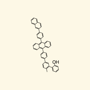 Cc1ccc(-c2ccc(-c3c4ccccc4c(-c4ccc(-c5ccc6ccccc6c5)cc4)c4ccccc34)cc2)cc1-c1ccccc1O